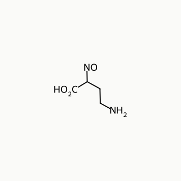 NCCC(N=O)C(=O)O